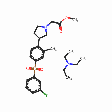 CCN(CC)CC.COC(=O)CN1CCC(c2ccc(S(=O)(=O)c3cccc(F)c3)cc2C)C1